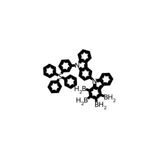 Bc1c(B)c(B)c2c(c1B)c1ccccc1n2-c1ccc2c(c1)c1ccccc1n2-c1cccc(S(c2ccccc2)(c2ccccc2)c2ccccc2)c1